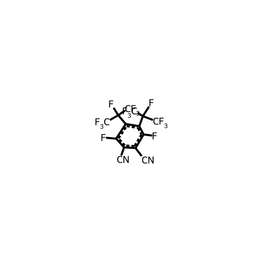 N#Cc1c(F)c(C(F)(C(F)(F)F)C(F)(F)F)c(C(F)(C(F)(F)F)C(F)(F)F)c(F)c1C#N